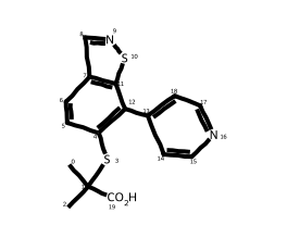 CC(C)(Sc1ccc2cnsc2c1-c1ccncc1)C(=O)O